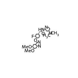 COc1cc2ncnc(Oc3ccc(CC(=O)Nc4cc(N(C)C)ccn4)cc3F)c2cc1OC